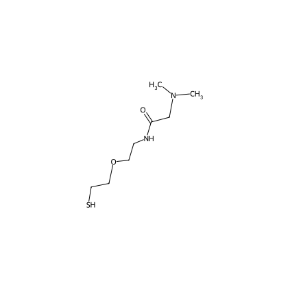 CN(C)CC(=O)NCCOCCS